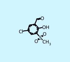 CS(=O)(=O)c1cc(Cl)cc(C=O)c1O